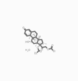 CCC(=O)OCC(=O)[C@@]1(OC(=O)CC)[C@@H](C)C[C@H]2[C@@H]3CCC4=CC(=O)C=C[C@]4(C)C3(Cl)[C@@H](O)C[C@@]21C.O